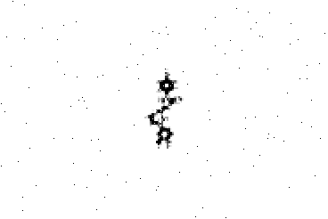 C=C/C=C(\C=C/CF)N1CCO[C@H]([C@@H]2CN(c3ccc(F)cc3)C(=O)O2)C1